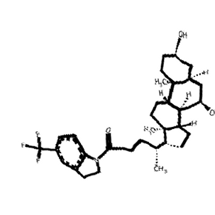 C[C@H](CCC(=O)N1CCc2cc(C(F)(F)F)ccc21)[C@H]1CC[C@H]2[C@@H]3[C@H](O)C[C@@H]4C[C@H](O)CC[C@]4(C)[C@H]3CC[C@]12C